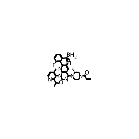 BC(=O)c1cccc(F)c1-c1nc2c(cc1Cl)c(N1CCN(C(=O)C=C)C[C@@H]1C)nc(=O)n2-c1c(C)ccnc1C(C)C